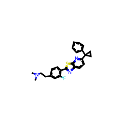 CN(C)CCc1ccc(-c2nc3ccc(C4(c5ccccc5)CC4)nc3s2)c(F)c1